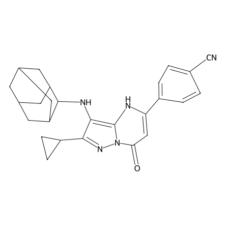 N#Cc1ccc(-c2cc(=O)n3nc(C4CC4)c(NC4C5CC6CC(C5)CC4C6)c3[nH]2)cc1